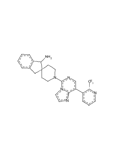 NC1c2ccccc2CC12CCN(c1ncc(-c3cccnc3C(F)(F)F)c3nccn13)CC2